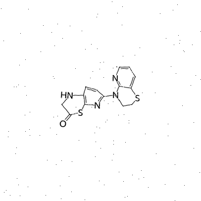 O=C1CNc2ccc(N3CCSc4cc[c]nc43)nc2S1